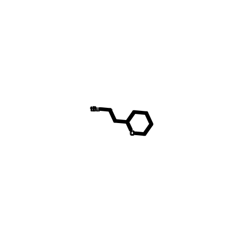 CC(C)(C)[CH]CC1CCCCO1